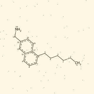 CCCCCCc1cccc2cc(CN)ccc12